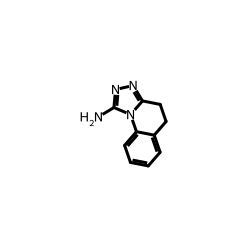 Nc1nnc2n1-c1ccccc1CC2